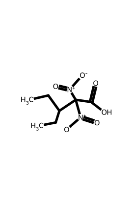 CCC(CC)C(C(=O)O)([N+](=O)[O-])[N+](=O)[O-]